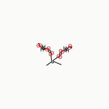 C=CC(=O)OCC1C[C@@H]2C3CC(COC(=O)C4CCC(C(=O)OCCCCCCC5C(CCCCCC)CCC(CCCCCCCC)C5CCCCCCOC(=O)C5CCC(C(=O)OCC6CC7CC6[C@@H]6CC(COC(=O)C(=C)C)C[C@H]76)CC5)CC4)C(C3)[C@@H]2C1